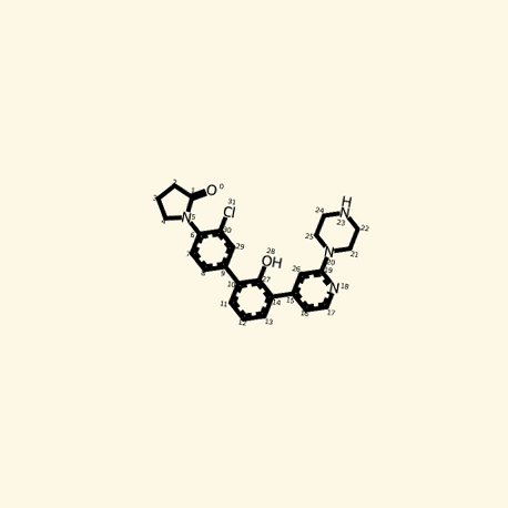 O=C1CCCN1c1ccc(-c2cccc(-c3ccnc(N4CCNCC4)c3)c2O)cc1Cl